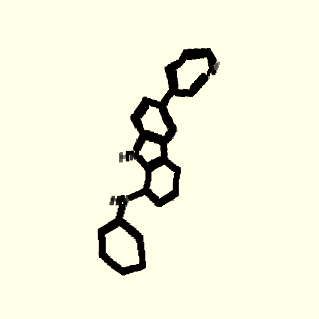 c1cncc(-c2ccc3[nH]c4c(c3c2)CCCC4NC2CCCCC2)c1